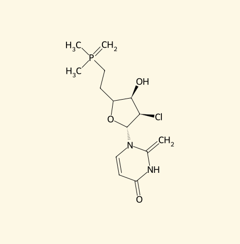 C=C1NC(=O)C=CN1[C@@H]1OC(CCP(=C)(C)C)[C@@H](O)[C@H]1Cl